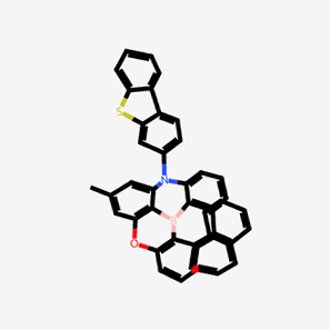 Cc1cc2c3c(c1)N(c1ccc4c(c1)sc1ccccc14)c1cccc(-c4ccccc4)c1B3c1c(cccc1-c1ccccc1)O2